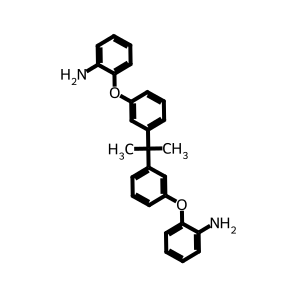 CC(C)(c1cccc(Oc2ccccc2N)c1)c1cccc(Oc2ccccc2N)c1